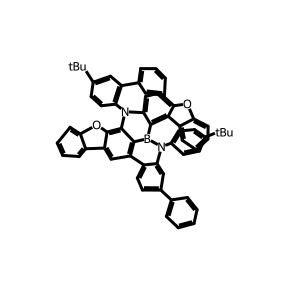 CC(C)(C)c1ccc(N2B3c4c(cc5c(oc6ccccc65)c4N(c4ccc(C(C)(C)C)cc4-c4ccccc4)c4ccc5oc6ccccc6c5c43)-c3ccc(-c4ccccc4)cc32)cc1